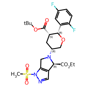 CCOC(=O)[C@H]1c2cnn(S(C)(=O)=O)c2CN1[C@H]1CO[C@@H](c2cc(F)ccc2F)[C@@H](C(=O)OC(C)(C)C)C1